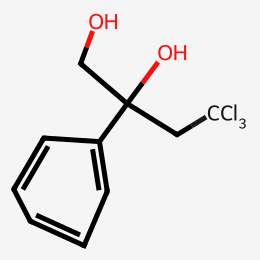 OCC(O)(CC(Cl)(Cl)Cl)c1ccccc1